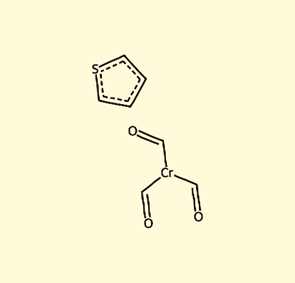 O=[CH][Cr]([CH]=O)[CH]=O.c1ccsc1